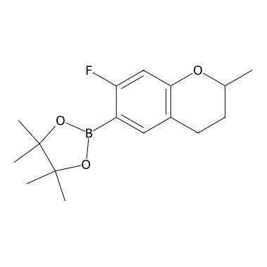 CC1CCc2cc(B3OC(C)(C)C(C)(C)O3)c(F)cc2O1